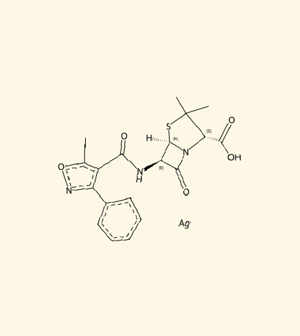 Cc1onc(-c2ccccc2)c1C(=O)N[C@@H]1C(=O)N2[C@@H]1SC(C)(C)[C@@H]2C(=O)O.[Ag]